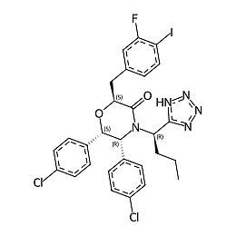 CCC[C@H](c1nnn[nH]1)N1C(=O)[C@H](Cc2ccc(I)c(F)c2)O[C@@H](c2ccc(Cl)cc2)[C@H]1c1ccc(Cl)cc1